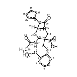 COc1nccnc1SCC1(C(=O)O)CN2C(=O)C(c3cccs3)[C@H]2SC1NC(C)=O